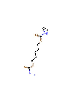 CNC(=S)SCCCCCSC(N)=S